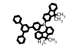 CC1(C)c2ccccc2-c2ccc(N(c3ccc(-c4cc(-c5ccccc5)cc(-c5ccccc5)c4)cc3)c3cccc4c3-c3ccccc3C4(C)C)cc21